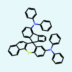 c1ccc(N(c2ccccc2)c2ccc3c(c2)C2(c4ccccc4-c4c(N(c5ccccc5)c5ccccc5)cccc42)c2ccc4ccccc4c2S3)cc1